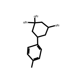 CCCC1CC(c2ccc(C)cc2)CC(CCC)(CCC)C1